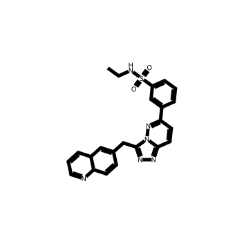 CCNS(=O)(=O)c1cccc(-c2ccc3nnc(CC4=CC5C=CC=NC5C=C4)n3n2)c1